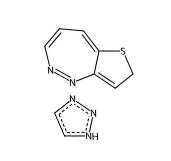 C1=CN=NC2=CCSC2=C1.c1c[nH]nn1